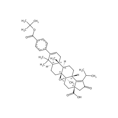 CC(C)C1=C2[C@H]3CC[C@@H]4[C@@]5(C)CC=C(c6ccc(C(=O)OC(C)(C)C)cc6)C(C)(C)[C@@H]5CC[C@@]4(C)[C@]3(C)CC[C@@]2(C(=O)O)CC1=O